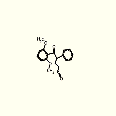 COc1cccc(OC)c1C(=O)C(CCP=O)c1ccccc1